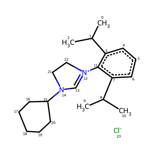 CC(C)c1cccc(C(C)C)c1[N+]1=CN(C2CCCCC2)CC1.[Cl-]